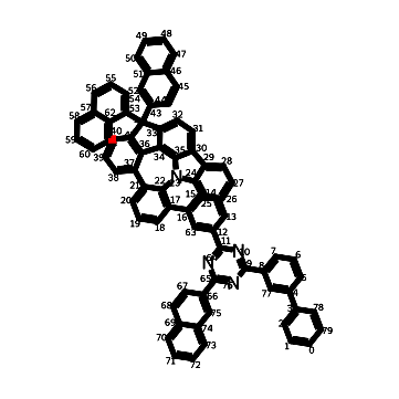 c1ccc(-c2cccc(-c3nc(-c4cccc(-c5cccc6c5-n5c7ccccc7c7ccc8c(c75)-c5c-6cccc5C8(c5ccc6ccccc6c5)c5cccc6ccccc56)c4)nc(-c4ccc5ccccc5c4)n3)c2)cc1